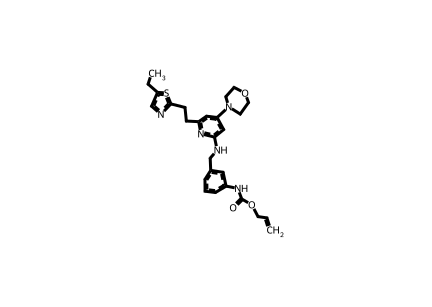 C=CCOC(=O)Nc1cccc(CNc2cc(N3CCOCC3)cc(CCc3ncc(CC)s3)n2)c1